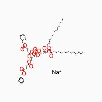 CCCCCCCCCCCCCC(=O)OC[C@H](COP(=O)([O-])OCC(COC(=O)CCC(=O)OCc1ccccc1)OC(=O)CCC(=O)OCc1ccccc1)OC(=O)CCCCCCCCCCCCC.[Na+]